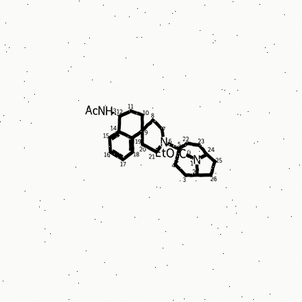 CCOC(=O)N1C2CCC(N3CCC4(CC[C@@H](NC(C)=O)c5ccccc54)CC3)CCC1CC2